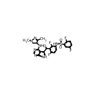 CC1=NN(C)CC1Nc1ncnc2[nH]cc(C(=O)c3c(F)ccc(NS(=O)(=O)c4cc(F)ccc4F)c3F)c12